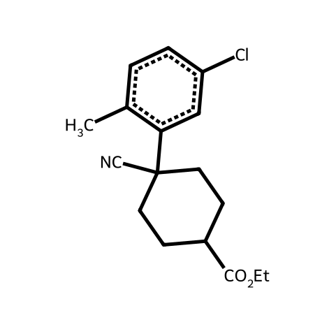 CCOC(=O)C1CCC(C#N)(c2cc(Cl)ccc2C)CC1